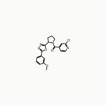 COc1cccc(-c2nnc(C3CCCN3C(=O)c3ccnc(Cl)c3)o2)c1